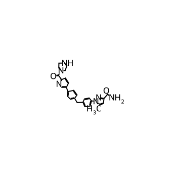 Cc1cc(C(N)=O)nn1-c1ccc(Cc2ccc(-c3ccc(C(=O)N4CCNCC4)nc3)cc2)cc1